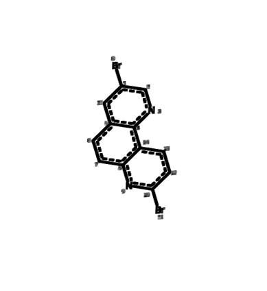 Brc1cnc2c(ccc3nc(Br)ccc32)c1